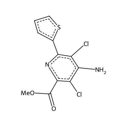 COC(=O)c1nc(-c2cccs2)c(Cl)c(N)c1Cl